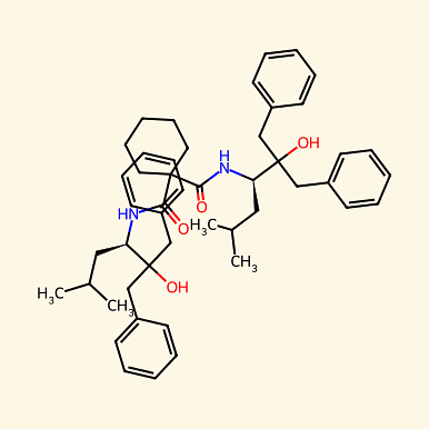 CC(C)C[C@@H](NC(=O)C1(C(=O)N[C@H](CC(C)C)C(O)(Cc2ccccc2)Cc2ccccc2)CCCCC1)C(O)(Cc1ccccc1)Cc1ccccc1